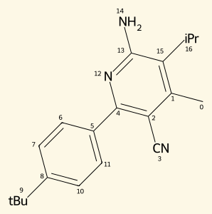 Cc1c(C#N)c(-c2ccc(C(C)(C)C)cc2)nc(N)c1C(C)C